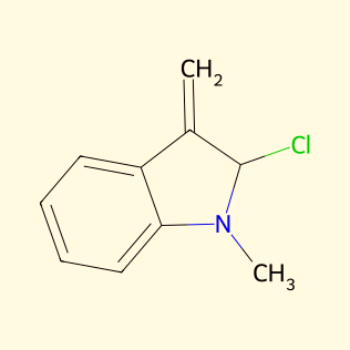 C=C1c2ccccc2N(C)C1Cl